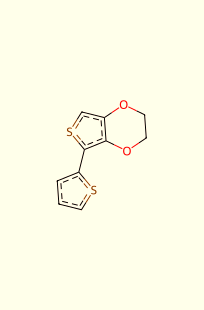 c1csc(-c2scc3c2OCCO3)c1